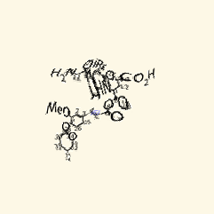 COc1cc(/C=C/C(=O)OC(=O)C(CCC(=O)O)NC(=O)C(NC(=O)CN)C(C)C)ccc1OC1CCCCO1